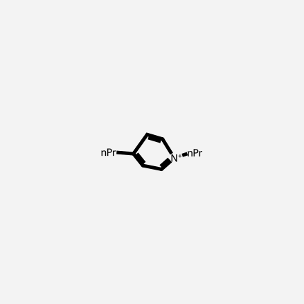 CCCc1cc[n+](CCC)cc1